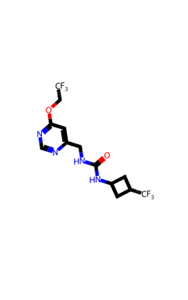 O=C(NCc1cc(OCC(F)(F)F)ncn1)NC1CC(C(F)(F)F)C1